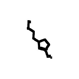 CCOCCN1C=[N+](C)CC1